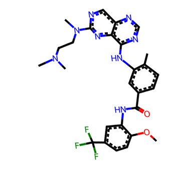 COc1ccc(C(F)(F)F)cc1NC(=O)c1ccc(C)c(Nc2ncnc3cnc(N(C)CCN(C)C)nc23)c1